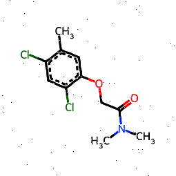 Cc1cc(OCC(=O)N(C)C)c(Cl)cc1Cl